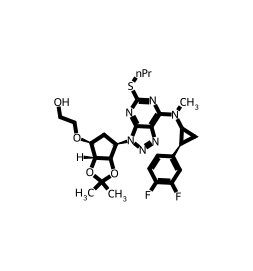 CCCSc1nc(N(C)C2C[C@H]2c2ccc(F)c(F)c2)c2nnn([C@@H]3C[C@H](OCCO)[C@H]4OC(C)(C)OC34)c2n1